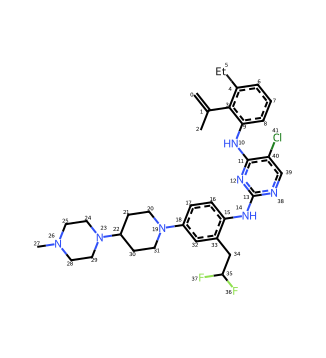 C=C(C)c1c(CC)cccc1Nc1nc(Nc2ccc(N3CCC(N4CCN(C)CC4)CC3)cc2CC(F)F)ncc1Cl